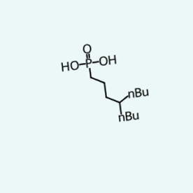 CCCCC(CCCC)CCCP(=O)(O)O